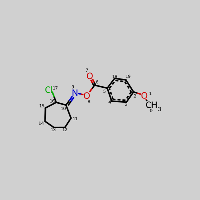 COc1ccc(C(=O)ON=C2CCCCCC2Cl)cc1